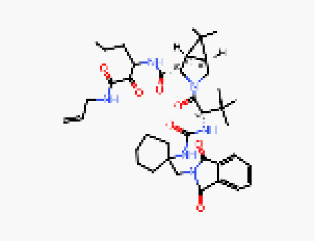 C=CCNC(=O)C(=O)C(CCC)NC(=O)[C@@H]1[C@@H]2[C@H](CN1C(=O)[C@@H](NC(=O)NC1(CN3C(=O)c4ccccc4C3=O)CCCCC1)C(C)(C)C)C2(C)C